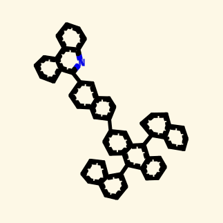 c1ccc2c(-c3c4ccccc4c(-c4cccc5ccccc45)c4cc(-c5ccc6cc(-c7nc8ccccc8c8ccccc78)ccc6c5)ccc34)cccc2c1